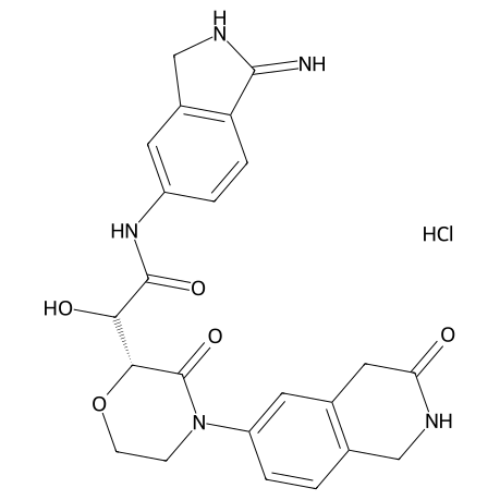 Cl.N=C1NCc2cc(NC(=O)C(O)[C@H]3OCCN(c4ccc5c(c4)CC(=O)NC5)C3=O)ccc21